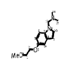 COCCOc1ccc2c(ccn2CN(C)C)c1